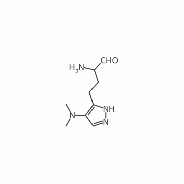 CN(C)c1cn[nH]c1CCC(N)C=O